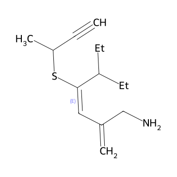 C#CC(C)S/C(=C/C(=C)CN)C(CC)CC